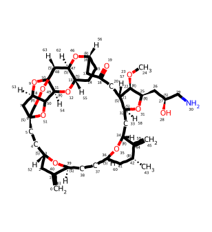 C=C1C[C@@H]2CC[C@@]34C[C@H]5OC6[C@@H](O[C@H]7CC[C@H](CC(=O)C[C@@H]8[C@@H](OC)[C@@H](C[C@H](O)CN)O[C@H]8C[C@H]8O[C@@H](CC[C@@H]1O2)C[C@@H](C)C8=C)O[C@@H]7[C@@H]6O3)C5O4